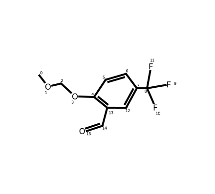 COCOc1ccc(C(F)(F)F)cc1C=O